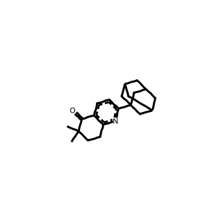 CC1(C)CCc2nc(C34CC5CC(CC(C5)C3)C4)ccc2C1=O